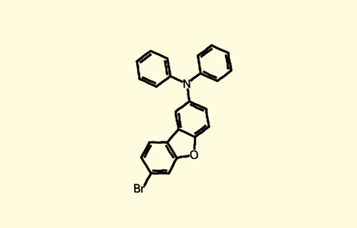 Brc1ccc2c(c1)oc1ccc(N(c3ccccc3)c3ccccc3)cc12